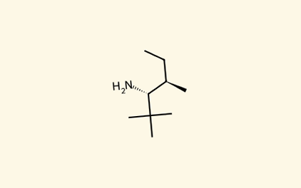 CC[C@@H](C)[C@@H](N)C(C)(C)C